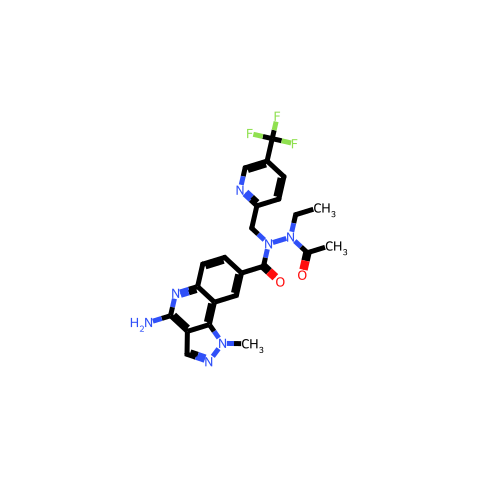 CCN(C(C)=O)N(Cc1ccc(C(F)(F)F)cn1)C(=O)c1ccc2nc(N)c3cnn(C)c3c2c1